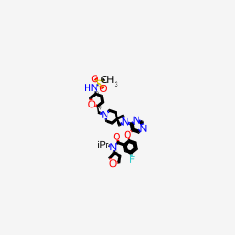 CC(C)N(C(=O)c1cc(F)ccc1Oc1cncnc1N1CC2(CCN(C[C@@H]3CC[C@@H](NS(C)(=O)=O)CO3)CC2)C1)[C@H]1CCOC1